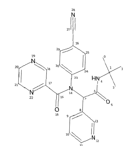 CC(C)(C)NC(=O)C(c1cccnc1)N(C(=O)c1cnccn1)c1ccc(C#N)cc1